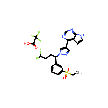 CCS(=O)(=O)c1cccc(C(CCC(F)F)n2cc(-c3ncnc4[nH]ccc34)cn2)c1.O=C(O)C(F)(F)F